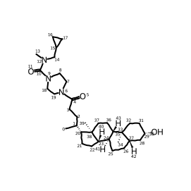 CC(CCC(=O)N1CCN(C(=O)N(C)CC2CC2)CC1)[C@H]1CC[C@H]2[C@@H]3CC[C@H]4C[C@@H](O)CC[C@]4(C)[C@H]3CC[C@]12C